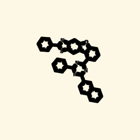 c1ccc(-c2nc(-c3ccc4ccccc4c3)nc(-c3cccc4oc5cc6nc(-c7ccccc7)sc6cc5c34)n2)cc1